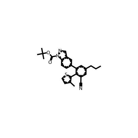 CCCc1cc(C#N)c(-c2sccc2C)c(-c2ccc3c(cnn3C(=O)OC(C)(C)C)c2)c1